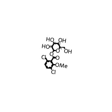 COc1c(Cl)ccc(Cl)c1C(=O)OC1O[C@H](CO)[C@@H](O)[C@H](O)[C@H]1O